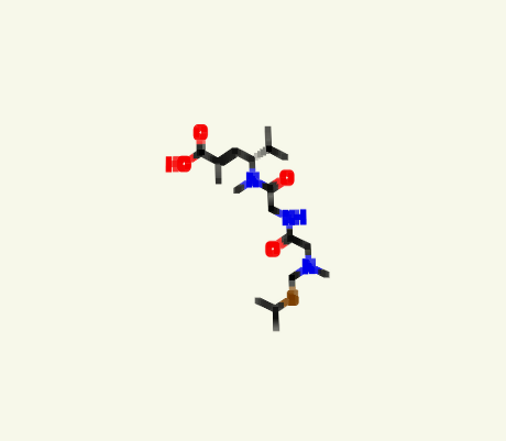 C/C(=C\[C@H](C(C)C)N(C)C(=O)CNC(=O)CN(C)CSC(C)C)C(=O)O